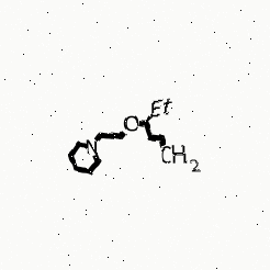 C=CC[C@H](CC)OCCN1CCCCC1